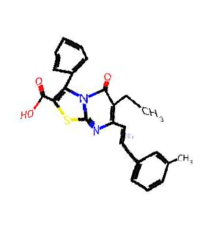 CCc1c(/C=C/c2cccc(C)c2)nc2sc(C(=O)O)c(-c3ccccc3)n2c1=O